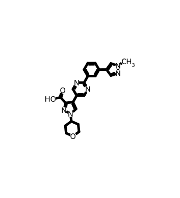 Cn1cc(-c2cccc(-c3ncc(-c4cn(C5CCOCC5)nc4C(=O)O)cn3)c2)cn1